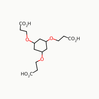 O=C(O)CCOC1CC(OCCC(=O)O)CC(OCCC(=O)O)C1